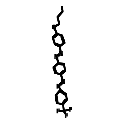 CCCCOc1ccc(N=Nc2ccc(N=Nc3ccc(C(F)(F)F)cc3)cc2)cc1